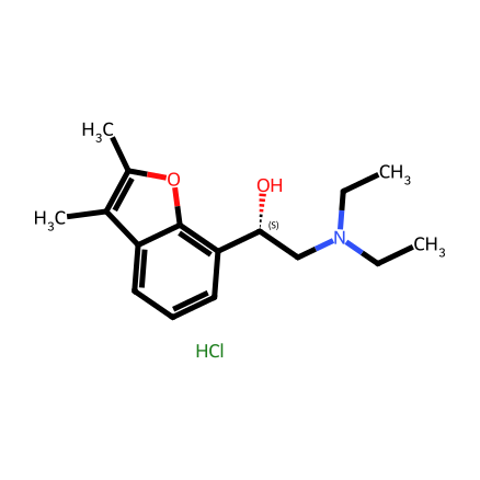 CCN(CC)C[C@@H](O)c1cccc2c(C)c(C)oc12.Cl